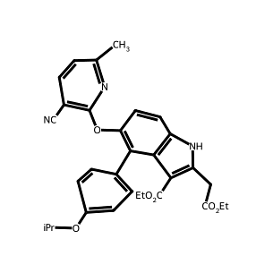 CCOC(=O)Cc1[nH]c2ccc(Oc3nc(C)ccc3C#N)c(-c3ccc(OC(C)C)cc3)c2c1C(=O)OCC